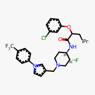 C[C](C)CC(Oc1cccc(Cl)c1)C(=O)N[C@@H]1CCN(Cc2ccn(-c3ccc(C(F)(F)F)cc3)c2)C[C@H]1F